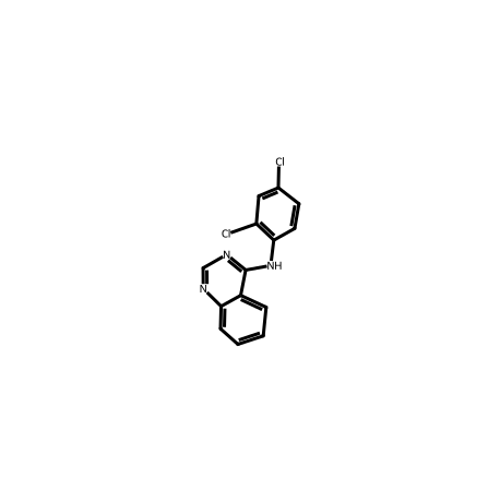 Clc1ccc(Nc2ncnc3ccccc23)c(Cl)c1